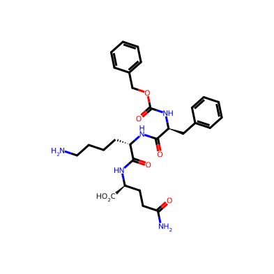 NCCCC[C@H](NC(=O)[C@H](Cc1ccccc1)NC(=O)OCc1ccccc1)C(=O)N[C@@H](CCC(N)=O)C(=O)O